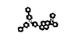 c1ccc(-c2ccc(N(c3ccc(-c4ccccc4)cc3)c3ccc(-c4ccc5ccc6c7c(ccc4c57)cc4c6c5ccccc5n4-c4ccccc4)cc3)cc2)cc1